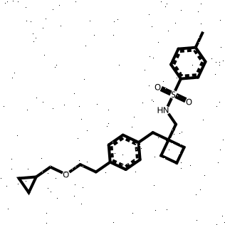 Cc1ccc(S(=O)(=O)NCC2(Cc3ccc(CCOCC4CC4)cc3)CCC2)cc1